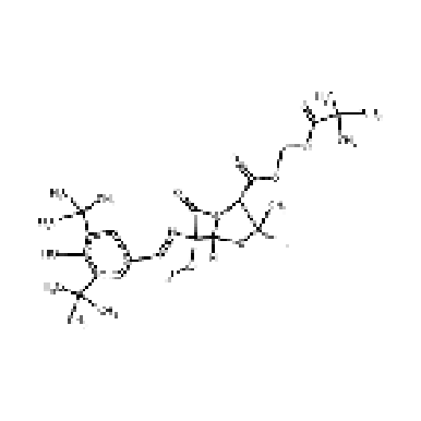 CO[C@@]1(/N=C/c2cc(C(C)(C)C)c(O)c(C(C)(C)C)c2)C(=O)N2[C@@H](C(=O)OCOC(=O)C(C)(C)C)C(C)(C)S[C@@H]21